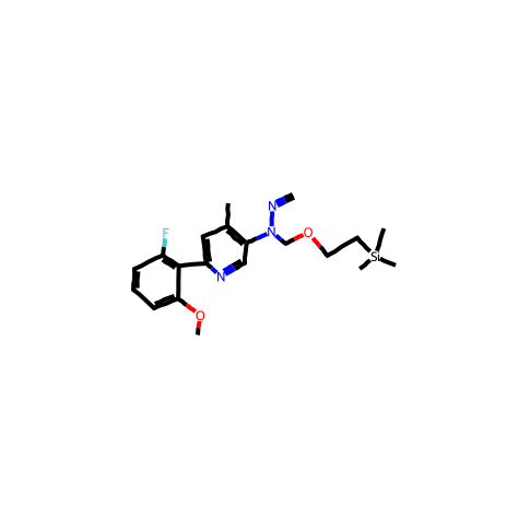 C=NN(COCC[Si](C)(C)C)c1cnc(-c2c(F)cccc2OC)cc1C